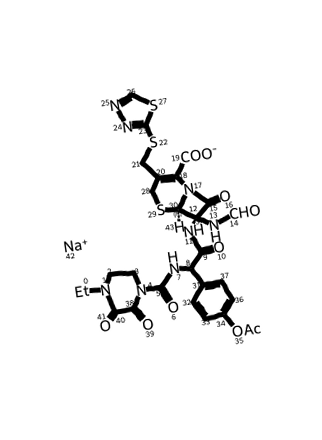 CCN1CCN(C(=O)NC(C(=O)N[C@@]2(NC=O)C(=O)N3C(C(=O)[O-])=C(CSc4nncs4)CS[C@@H]32)c2ccc(OC(C)=O)cc2)C(=O)C1=O.[Na+]